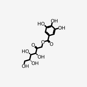 O=C(OCC(=O)[C@@H](O)[C@H](O)[C@H](O)CO)c1cc(O)c(O)c(O)c1